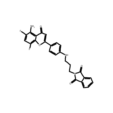 Nc1c(F)cc(F)c2oc(-c3ccc(NCCCN4C(=O)c5ccccc5C4=O)cc3)cc(=O)c12